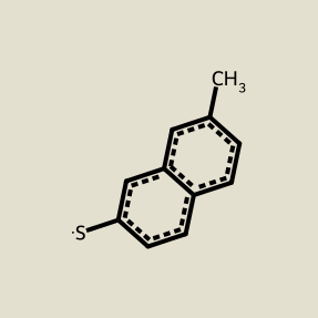 Cc1ccc2ccc([S])cc2c1